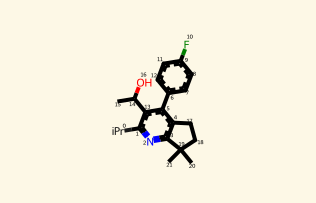 CC(C)c1nc2c(c(-c3ccc(F)cc3)c1C(C)O)CCC2(C)C